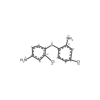 Nc1ccc(Sc2ccc(Cl)cc2N)c(Cl)c1